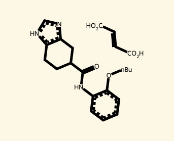 CCCCOc1ccccc1NC(=O)C1CCc2[nH]cnc2C1.O=C(O)/C=C/C(=O)O